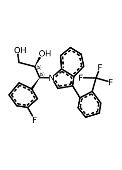 OC[C@@H](O)[C@H](c1cccc(F)c1)n1cc(-c2ccccc2C(F)(F)F)c2ccccc21